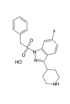 Cl.O=S(=O)(Cc1ccccc1)n1nc(C2CCNCC2)c2ccc(F)cc21